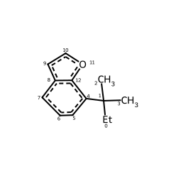 CCC(C)(C)c1cccc2ccoc12